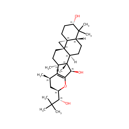 C[C@@H]1C[C@H]([C@H](O)C(C)(C)C)OC2=C1[C@@]1(C)CC[C@@]34C[C@@]35CC[C@H](O)C(C)(C)[C@@H]5CC[C@H]4[C@]1(C)[C@H]2O